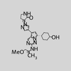 COC[C@H](C)Nc1ncc2c(-c3cnn([C@H]4CCNC4=O)c3)cc([C@H]3CC[C@H](O)CC3)n2n1